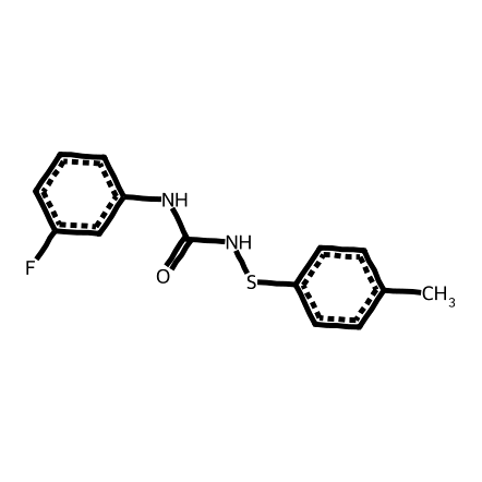 Cc1ccc(SNC(=O)Nc2cccc(F)c2)cc1